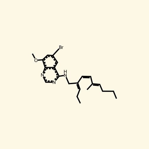 CC/C=C(/C=C\C(C)=C\CCC)CNc1ncnc2c(OC)cc(Br)cc12